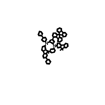 CC1(C)c2ccccc2-c2ccc(N3c4cc(-c5cccc6c5-c5ccccc5C65c6ccccc6-c6ccccc65)cc(c4)N(c4ccc(-c5ccccc5)cc4)c4ccc5c(c4)C(C)(c4cccc3c4)c3cc(-c4ccccc4)ccc3-5)cc21